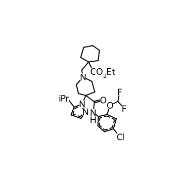 CCOC(=O)C1(CN2CCC(C(=O)Nc3ccc(Cl)cc3OC(F)F)(n3nccc3C(C)C)CC2)CCCCC1